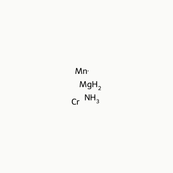 N.[Cr].[MgH2].[Mn]